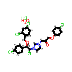 Cl.O.O=C(COc1ccc(Cl)cc1)CN1C=CN(C(Cl)C(OCc2ccc(Cl)cc2Cl)c2ccc(Cl)cc2)C1